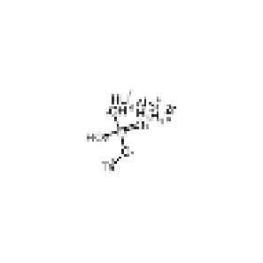 O=P(O)(O)[O][Ta].[AlH3].[LiH].[SrH2].[Zr]